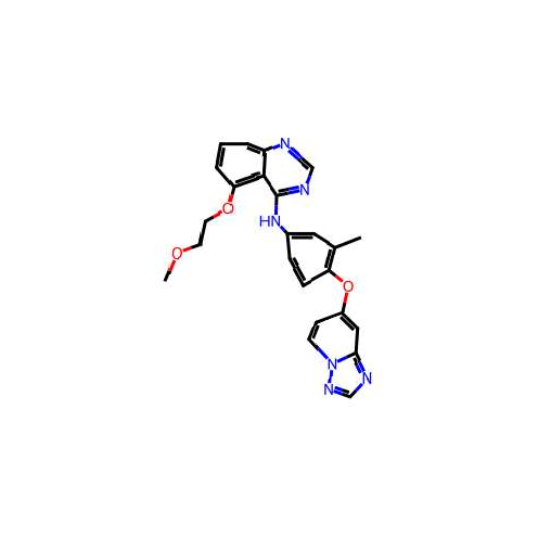 COCCOc1cccc2ncnc(Nc3ccc(Oc4ccn5ncnc5c4)c(C)c3)c12